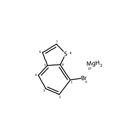 Brc1cccc2ccsc12.[MgH2]